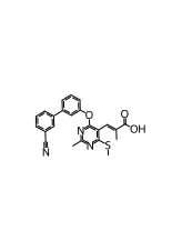 CSc1nc(C)nc(Oc2cccc(-c3cccc(C#N)c3)c2)c1C=C(C)C(=O)O